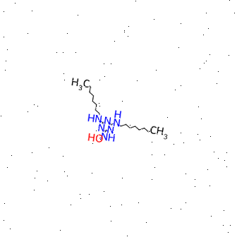 CCCCCCCCNc1nc(NO)nc(NCCCCCCCC)n1